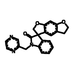 O=C1N(Cc2cnccn2)c2ccccc2C12COc1cc3c(cc12)CCO3